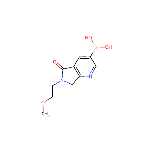 COCCN1Cc2ncc(B(O)O)cc2C1=O